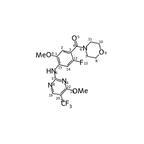 COc1cc(C(=O)N2CCOCC2)c(F)cc1Nc1ncc(C(F)(F)F)c(OC)n1